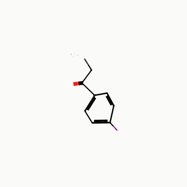 COCC(=O)c1ccc(I)cc1